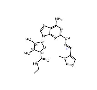 CCNC(=O)[C@H]1O[C@@H](n2cnc3c(N)nc(N/N=C/c4cncn4C)nc32)[C@H](O)[C@@H]1O